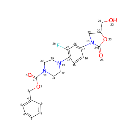 O=C(OCc1ccccc1)N1CCN(c2ccc(N3CC(CO)OC3=O)cc2F)CC1